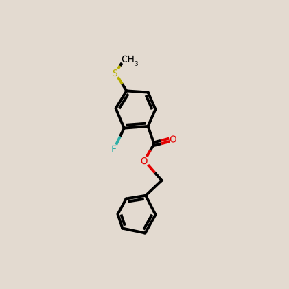 CSc1ccc(C(=O)OCc2ccccc2)c(F)c1